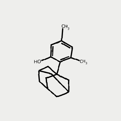 Cc1cc(C)c(C23CC4CC(CC(C4)C2)C3)c(O)c1